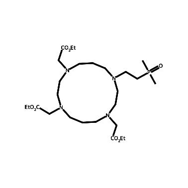 CCOC(=O)CN1CCCN(CC(=O)OCC)CCN(CC(=O)OCC)CCCN(CCP(C)(C)=O)CC1